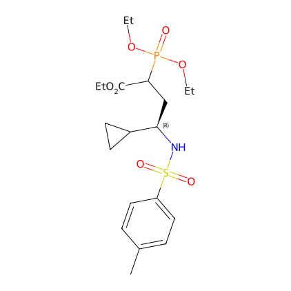 CCOC(=O)C(C[C@@H](NS(=O)(=O)c1ccc(C)cc1)C1CC1)P(=O)(OCC)OCC